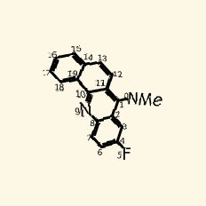 CNc1c2cc(F)ccc2nc2c1ccc1ccccc12